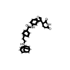 O=C1CCC(c2coc3ccc(NC(=O)c4ccc(CCNC56CC7CC(CC(C7)C5)C6)cc4)cc23)C(=O)N1